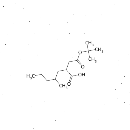 CCCC(C)CC(CC(=O)OC(C)(C)C)C(=O)O